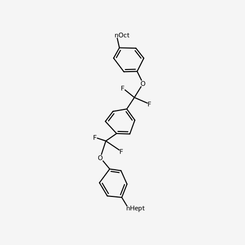 CCCCCCCCc1ccc(OC(F)(F)c2ccc(C(F)(F)Oc3ccc(CCCCCCC)cc3)cc2)cc1